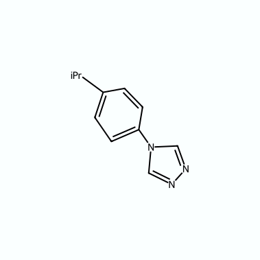 CC(C)c1ccc(-n2cnnc2)cc1